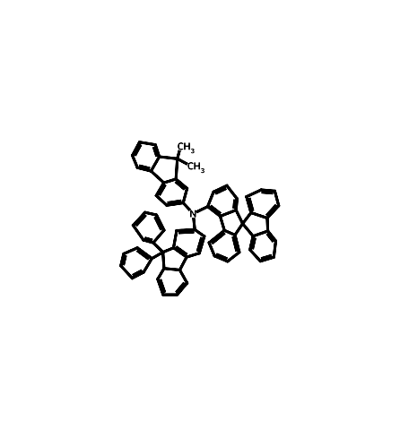 CC1(C)c2ccccc2-c2ccc(N(c3ccc4c(c3)C(c3ccccc3)(c3ccccc3)C3C=CC=CC43)c3cccc4c3-c3ccccc3C43c4ccccc4-c4ccccc43)cc21